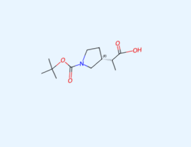 CC(C(=O)O)[C@H]1CCN(C(=O)OC(C)(C)C)C1